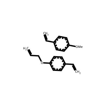 C=CCOc1ccc(C=C)cc1.C=Cc1ccc(OC)cc1